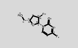 O=c1nc(F)ccn1[C@@H]1O[C@H](CO)C[C@H]1F